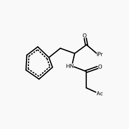 CC(=O)CC(=O)NC(Cc1ccccc1)C(=O)C(C)C